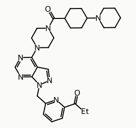 CCC(=O)c1cccc(Cn2ncc3c(N4CCN(C(=O)C5CCC(N6CCCCC6)CC5)CC4)ncnc32)n1